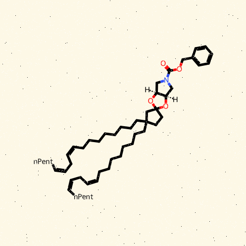 CCCCC/C=C\C/C=C\CCCCCCCCC1(CCCCCCCC/C=C\C/C=C\CCCCC)CCC2(C1)O[C@H]1CN(C(=O)OCc3ccccc3)C[C@H]1O2